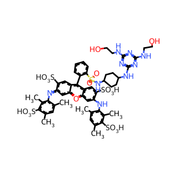 Cc1cc(C)c(S(=O)(=O)O)c(C)c1/N=c1\cc2oc3cc(Nc4c(C)cc(C)c(S(=O)(=O)O)c4C)c(S(=O)(=O)O)cc3c(-c3ccccc3S(=O)(=O)NC3CCC(Nc4nc(NCCO)nc(NCCO)n4)CC3)c-2cc1S(=O)(=O)O